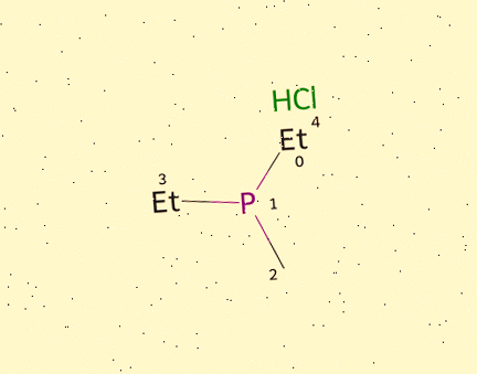 CCP(C)CC.Cl